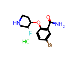 Cl.NC(=O)c1cc(Br)ccc1O[C@@H]1CCNC[C@H]1F